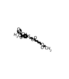 C=CC(=O)OCCCCCC(=O)OCCSc1ccc(C(=O)C(C)(C)N2CCOCC2)cc1